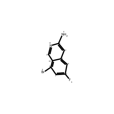 Nc1cc2cc(F)cc(Br)c2cn1